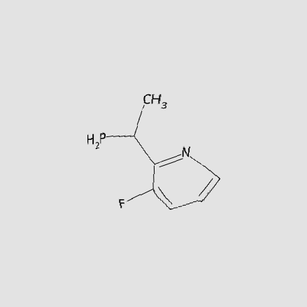 CC(P)c1ncccc1F